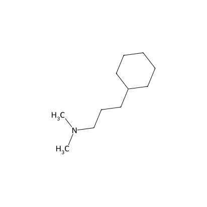 CN(C)CCCC1CCCCC1